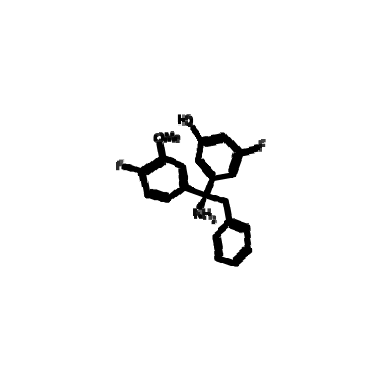 COc1cc([C@@](N)(Cc2ccccc2)c2cc(O)cc(F)c2)ccc1F